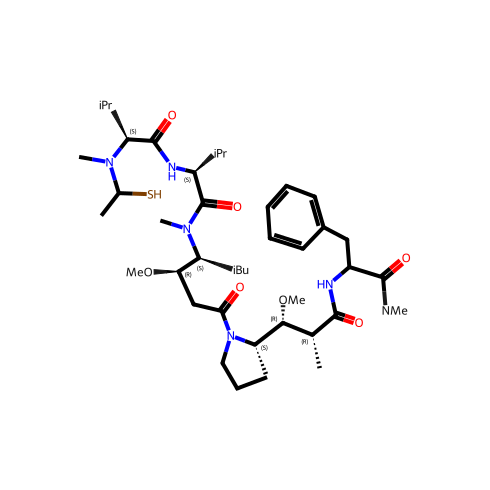 CCC(C)[C@@H]([C@@H](CC(=O)N1CCC[C@H]1[C@H](OC)[C@@H](C)C(=O)NC(Cc1ccccc1)C(=O)NC)OC)N(C)C(=O)[C@@H](NC(=O)[C@H](C(C)C)N(C)C(C)S)C(C)C